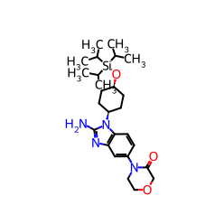 CC(C)[Si](O[C@H]1CC[C@@H](n2c(N)nc3cc(N4CCOCC4=O)ccc32)CC1)(C(C)C)C(C)C